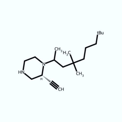 C#C[C@@H]1CNCCN1C(C)CC(C)(C)CCCC(C)(C)C